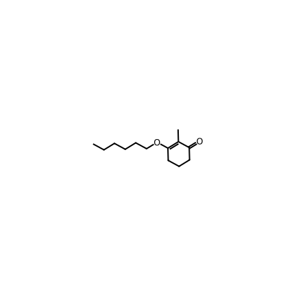 CCCCCCOC1=C(C)C(=O)CCC1